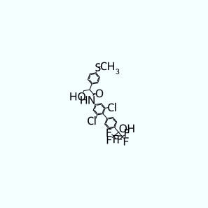 CSc1ccc(C(CO)C(=O)Nc2cc(Cl)c(-c3ccc(C(O)(C(F)(F)F)C(F)(F)F)cc3)c(Cl)c2)cc1